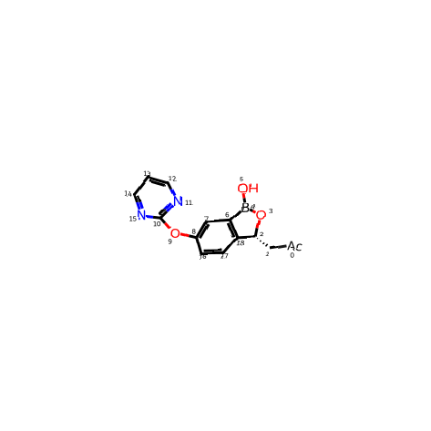 CC(=O)C[C@H]1OB(O)c2cc(Oc3ncccn3)ccc21